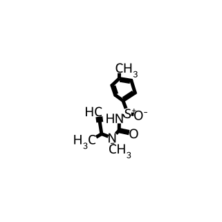 C#CC(C)N(C)C(=O)N[S+]([O-])c1ccc(C)cc1